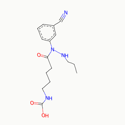 CCCNN(C(=O)CCCCNC(=O)O)c1cccc(C#N)c1